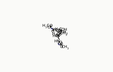 COC(=O)/C=C\C(=O)NCCC[Si](C)(O)O[Si](C)(CCCNC(=O)/C=C/C(=O)OC)O[Si](C)(C)O